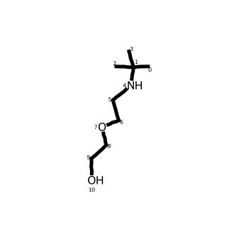 CC(C)(C)NCCOCCO